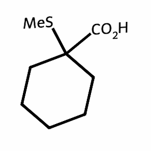 CSC1(C(=O)O)CCCCC1